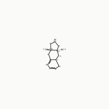 C1=CN=C2C[C@@H]3CNC[C@H]3CC2C1